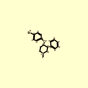 CN1CC[C@@H](Oc2ccc(Br)cc2)[C@@H](c2ccccc2)C1